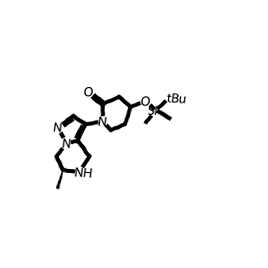 C[C@H]1Cn2ncc(N3CCC(O[Si](C)(C)C(C)(C)C)CC3=O)c2CN1